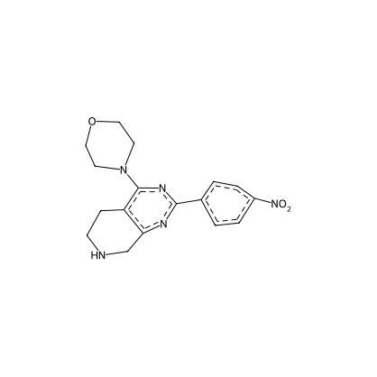 O=[N+]([O-])c1ccc(-c2nc3c(c(N4CCOCC4)n2)CCNC3)cc1